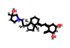 C=C1/C(=C\C=C2/CCC[C@]3(C)[C@@H]([C@H](C)CN4CC[C@](C)(O)C4)CC[C@@H]23)C[C@@H](O)C[C@@H]1O